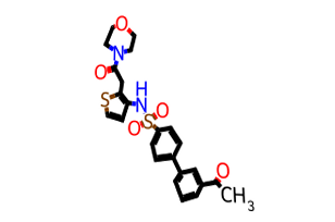 CC(=O)c1cccc(-c2ccc(S(=O)(=O)Nc3ccsc3CC(=O)N3CCOCC3)cc2)c1